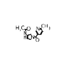 CC(=O)N[C@H]1CCN(C(=O)c2ccc(C)nc2)C1